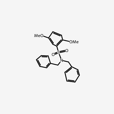 COc1ccc(OC)c(S(=O)(=O)N(Cc2ccccc2)Cc2ccccc2)c1